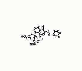 CC(C)(C)[S+]([O-])N[C@@](C)(CC(=O)O)c1cccc(NC(=O)OCc2ccccc2)c1Cl